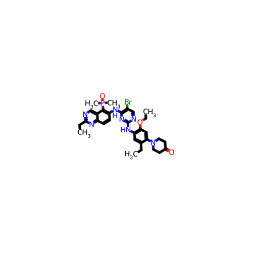 CCOc1cc(N2CCC(=O)CC2)c(CC)cc1Nc1ncc(Br)c(Nc2ccc3nc(CC)ncc3c2P(C)(C)=O)n1